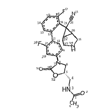 CC(=O)NC[C@H]1CN(c2ccc(-c3cccc(F)c3C3(C#N)C4CNCC43)c(F)c2)C(=O)O1